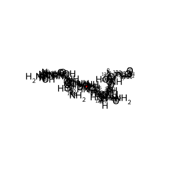 C/C=C/[C@@H]1O[C@H]([C@@H](/C=C/C=C(\C)C[C@@H](C)/C=C(C)\C=C\[C@H]2CC=CC(=O)O2)NC(=O)OCc2ccc(NC(=O)[C@H](CCCNC(N)=O)NC(=O)[C@@H](NC(=O)OCC3[C@H]4CC/C(Nc5ccc(C(=O)NCCCC[C@H](NC(=O)CC[C@H](NC(=O)c6ccc(NCc7cnc8nc(N)nc(O)c8n7)cc6)C(=O)O)C(=O)N[C@H](CCCCN)C(=O)O)cc5)=C(/N=N)CC[C@@H]34)C(C)C)cc2)C[C@@H](O)[C@@H]1C